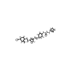 [O-][S+](CCn1ccnn1)Cc1ccc(OCc2coc(C=Cc3ccc(Cl)cc3F)n2)cc1